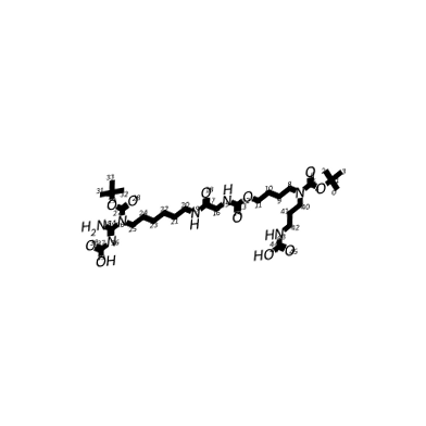 CC(C)(C)OC(=O)N(CCCCOC(=O)NCC(=O)NCCCCCCN(C(=O)OC(C)(C)C)C(N)=NC(=O)O)CCCNC(=O)O